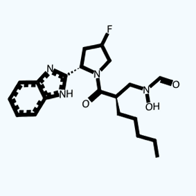 CCCCC[C@H](CN(O)C=O)C(=O)N1CC(F)C[C@H]1c1nc2ccccc2[nH]1